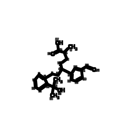 CC(CSC(CCc1ccccc1C(C)(C)O)c1cccc(C=O)c1)C(=O)O